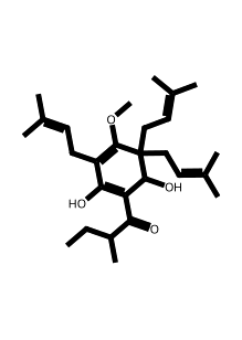 CCC(C)C(=O)C1=C(O)C(CC=C(C)C)=C(OC)C(CC=C(C)C)(CC=C(C)C)C1O